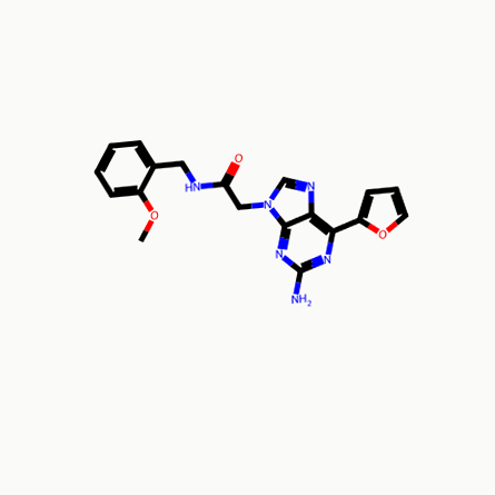 COc1ccccc1CNC(=O)Cn1cnc2c(-c3ccco3)nc(N)nc21